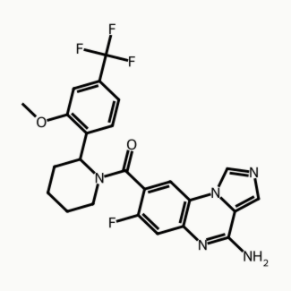 COc1cc(C(F)(F)F)ccc1C1CCCCN1C(=O)c1cc2c(cc1F)nc(N)c1cncn12